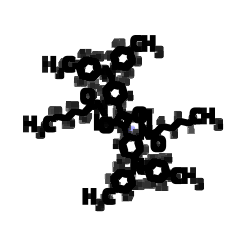 CCCCCC(=O)NC1=CC(=[N+](c2ccc(C)cc2)c2ccc(C)cc2)C=C/C1=C1\C(=O)C(c2ccc(N(c3ccc(C)cc3)c3ccc(C)cc3)cc2NC(=O)CCCCC)=C1[O-]